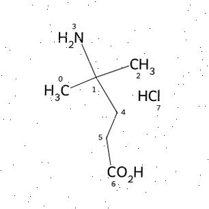 CC(C)(N)CCC(=O)O.Cl